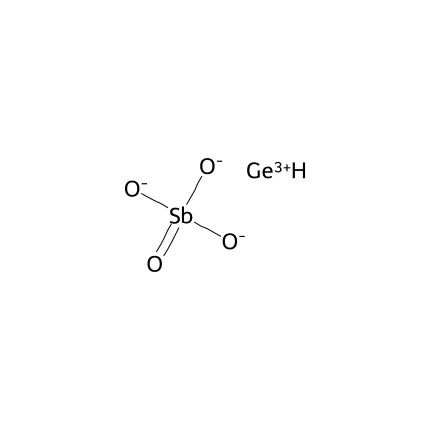 [GeH+3].[O]=[Sb]([O-])([O-])[O-]